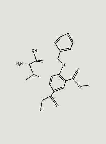 CC(C)[C@H](N)C(=O)O.COC(=O)c1cc(C(=O)CBr)ccc1OCc1ccccc1